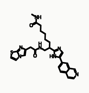 CNC(=O)CCCCCC(CNC(=O)Cc1cn2ccsc2n1)c1ncc(-c2ccc3ccncc3c2)[nH]1